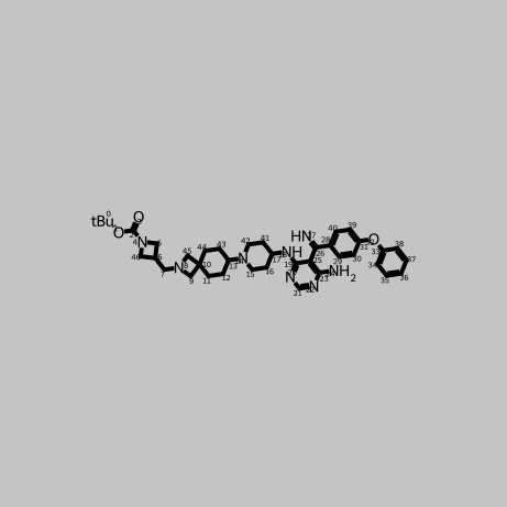 CC(C)(C)OC(=O)N1CC(CN2CC3(CCC(N4CCC(Nc5ncnc(N)c5C(=N)c5ccc(Oc6ccccc6)cc5)CC4)CC3)C2)C1